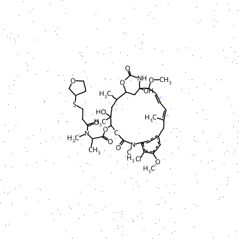 COc1cc2cc(c1Cl)N(C)C(=O)CC(OC(=O)C(C)N(C)C(=O)CCSC1CCOC1)C(C)(O)CC(C)C1CC(O)(NC(=O)O1)C(OC)/C=C/C=C(\C)C2